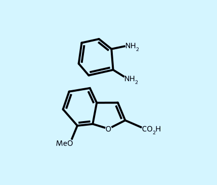 COc1cccc2cc(C(=O)O)oc12.Nc1ccccc1N